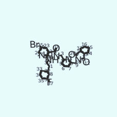 O=C(NCc1cccc(CN2C(=O)c3ccccc3C2=O)n1)c1cc(Br)cnc1NCCc1cccc(F)c1